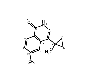 CC1(c2n[nH]c(=O)c3ccc(C(F)(F)F)cc23)CC1